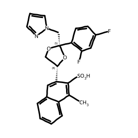 Cc1c(S(=O)(=O)O)c([C@@H]2CO[C@@](Cn3cccn3)(c3ccc(F)cc3F)O2)cc2ccccc12